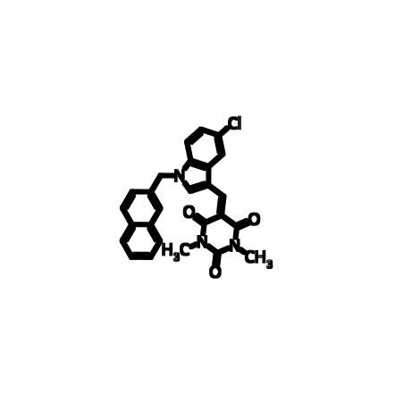 CN1C(=O)C(=Cc2cn(Cc3ccc4ccccc4c3)c3ccc(Cl)cc23)C(=O)N(C)C1=O